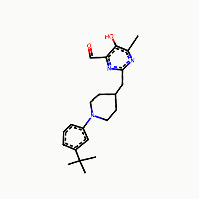 Cc1nc(CC2CCN(c3cccc(C(C)(C)C)c3)CC2)nc([C]=O)c1O